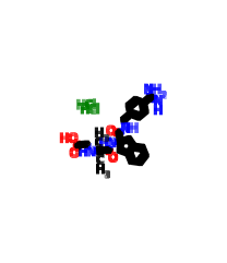 CC(C)(NCC(=O)O)C(=O)NC1(C(=O)NCc2ccc(C(=N)N)cc2)Cc2ccccc2C1.Cl.Cl